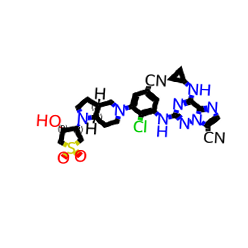 N#Cc1cc(Nc2nc(NC3CC3)c3ncc(C#N)n3n2)c(Cl)c(N2CC[C@@H]3[C@@H](CCN3[C@H]3CS(=O)(=O)C[C@@H]3O)C2)c1